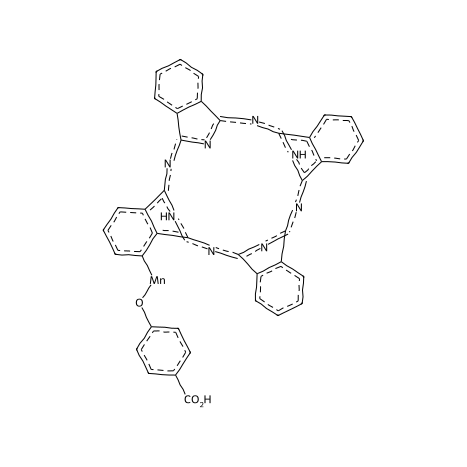 O=C(O)c1ccc([O][Mn][c]2cccc3c4nc5nc(nc6[nH]c(nc7nc(nc([nH]4)c23)-c2ccccc2-7)c2ccccc62)-c2ccccc2-5)cc1